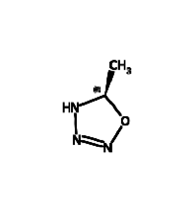 C[C@@H]1NN=NO1